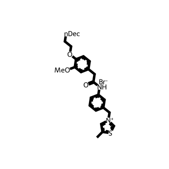 CCCCCCCCCCCCOc1ccc(CC(=O)Nc2cccc(C[n+]3csc(C)c3)c2)cc1OC.[Br-]